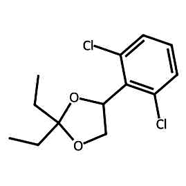 CCC1(CC)OCC(c2c(Cl)cccc2Cl)O1